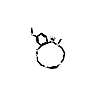 COc1ccc2c(c1)OCCCCC=CCCCCN(C)S2(=O)=O